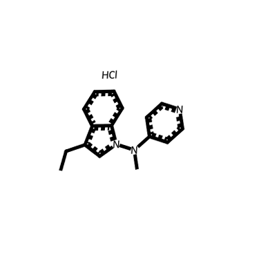 CCc1cn(N(C)c2ccncc2)c2ccccc12.Cl